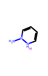 I.NN1C=CC=CN1